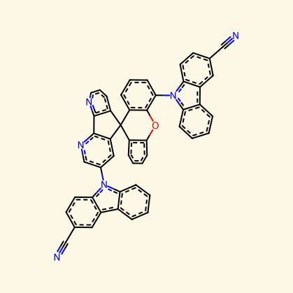 N#Cc1ccc2c(c1)c1ccccc1n2-c1cnc2c(c1)C1(c3ccccc3Oc3c(-n4c5ccccc5c5cc(C#N)ccc54)cccc31)c1cccnc1-2